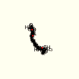 CC(=O)c1c(C)c2cnc(Nc3ccc(N4CCN(CCN5CCC(CC6CCN(c7cc8c(cc7F)C(=O)N([C@H]7CCC(=O)NC7=O)C8)CC6)CC5)CC4)cn3)nc2n(C2CCCC2)c1=O